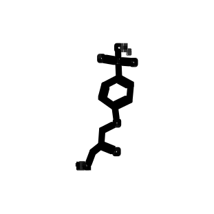 CC(C)(C)CC(=O)COc1ccc(S(C)(=O)=O)cc1